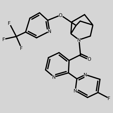 O=C(c1cccnc1-c1ncc(F)cn1)N1CC2CCC1C(Oc1ccc(C(F)(F)F)cn1)C2